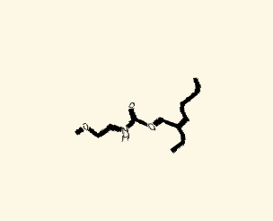 CCCCC(CC)COC(=O)NCCOC